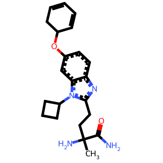 CC(N)(CCc1nc2ccc(OC3C=CC=CC3)cc2n1C1CCC1)C(N)=O